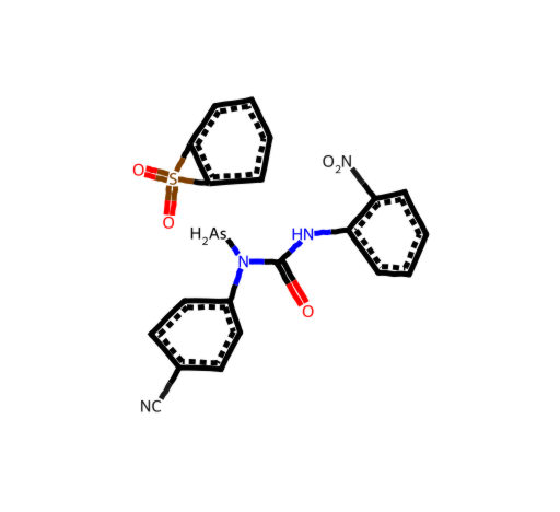 N#Cc1ccc(N([AsH2])C(=O)Nc2ccccc2[N+](=O)[O-])cc1.O=S1(=O)c2ccccc21